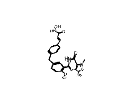 CCCc1nn(C)c2c(=O)[nH]c(-c3cc(Cc4ccc(/C=C/C(=O)NO)cc4)ccc3OCC)nc12